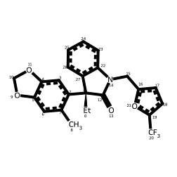 CC[C@]1(c2cc3c(cc2C)OCO3)C(=O)N(Cc2ccc(C(F)(F)F)o2)c2ccccc21